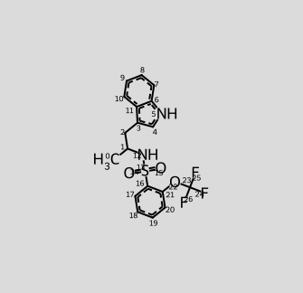 CC(Cc1c[nH]c2ccccc12)NS(=O)(=O)c1ccccc1OC(F)(F)F